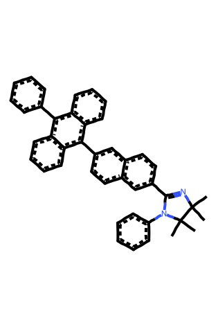 CC1(C)N=C(c2ccc3cc(-c4c5ccccc5c(-c5ccccc5)c5ccccc45)ccc3c2)N(c2ccccc2)C1(C)C